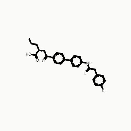 CCCC(CC(=O)c1ccc(-c2ccc(NC(=O)Cc3ccc(Cl)cc3)cc2)cc1)C(=O)O